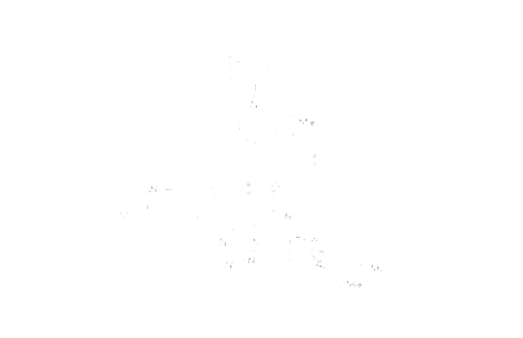 COc1ccc(CN(Cc2ccc(OC)cc2)S(=O)(=O)c2c(SC3CCN(C(=O)OC(C)(C)C)CC3)ccc(-c3cccc4c3CNC4=O)c2-c2nnnn2Cc2ccc(OC)cc2)cc1